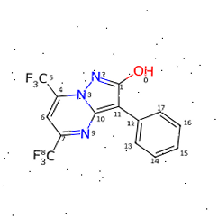 Oc1nn2c(C(F)(F)F)cc(C(F)(F)F)nc2c1-c1ccccc1